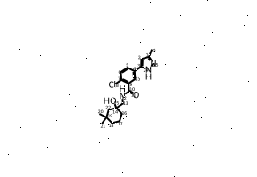 Cc1cc(-c2ccc(Cl)c(C(=O)NCC3(O)CCCC(C)(C)C3)c2)[nH]n1